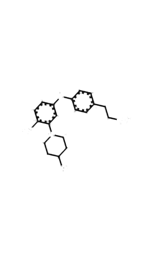 CCCC1CCN(c2cc(Oc3ccc(CCC(=O)O)cc3)ccc2[N+](=O)[O-])CC1